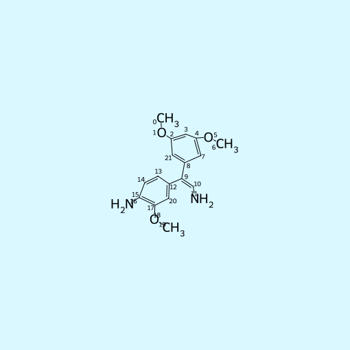 COc1cc(OC)cc(C(=CN)c2ccc(N)c(OC)c2)c1